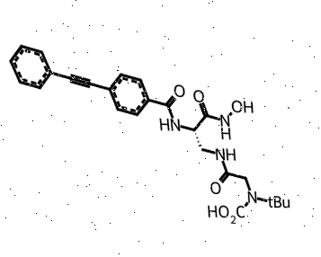 CC(C)(C)N(CC(=O)NC[C@H](NC(=O)c1ccc(C#Cc2ccccc2)cc1)C(=O)NO)C(=O)O